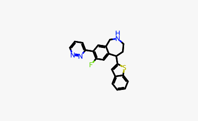 Fc1cc2c(cc1-c1cccnn1)CNCCC2c1cc2ccccc2s1